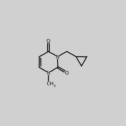 Cn1ccc(=O)n(CC2CC2)c1=O